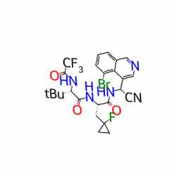 CC(C)(C)[C@H](NC(=O)C(F)(F)F)C(=O)N[C@@H](CC1(F)CC1)C(=O)NC(C#N)c1cncc2cccc(Br)c12